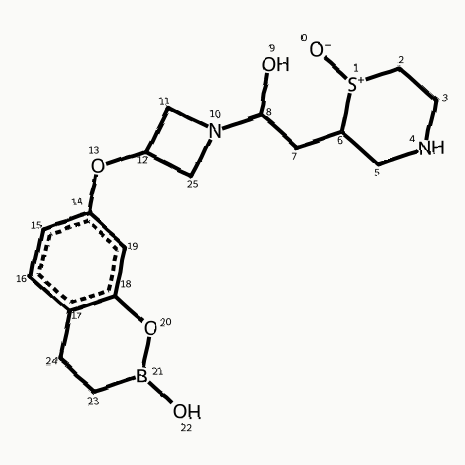 [O-][S+]1CCNCC1CC(O)N1CC(Oc2ccc3c(c2)OB(O)CC3)C1